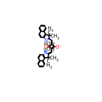 CCCCCCCCN1/C(=C\C2=C([O-])C(=C/C3=[N+](CCCCCCCC)c4ccc5ccccc5c4C3(C)C)/C2=O)C(C)(C)c2c1ccc1ccccc21